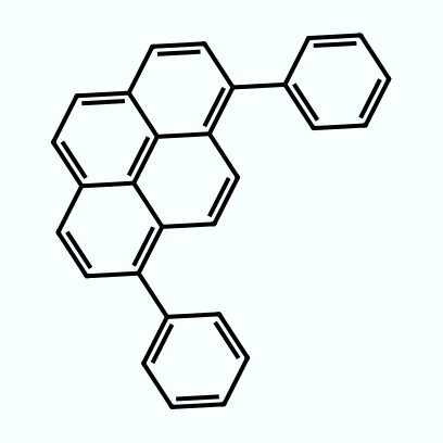 c1ccc(-c2ccc3ccc4ccc(-c5ccccc5)c5ccc2c3c45)cc1